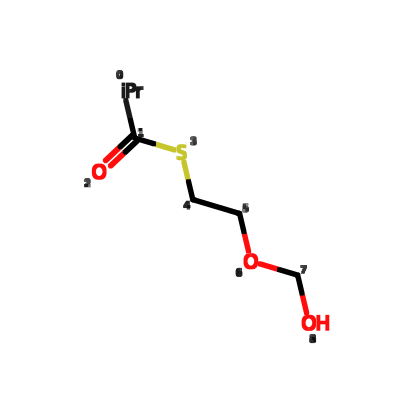 CC(C)C(=O)SCCOCO